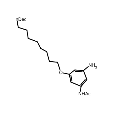 CCCCCCCCCCCCCCCCCCOc1cc(N)cc(NC(C)=O)c1